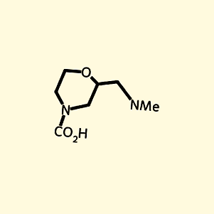 CNCC1CN(C(=O)O)CCO1